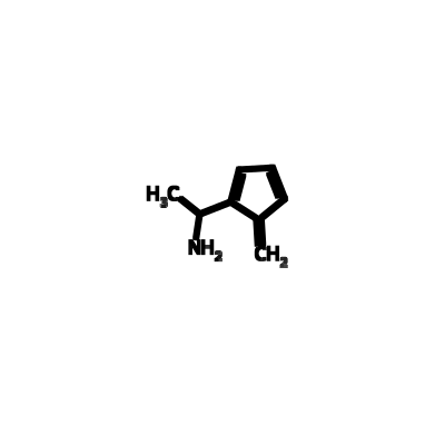 C=C1C=CC=C1C(C)N